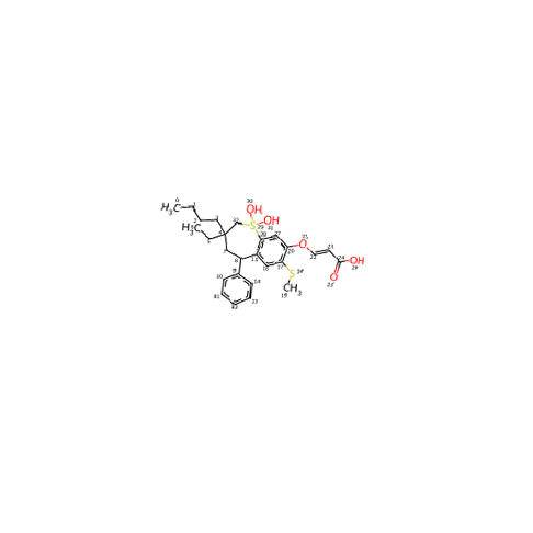 CCCCC1(CC)CC(c2ccccc2)c2cc(SC)c(O/C=C/C(=O)O)cc2S(O)(O)C1